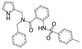 Cc1ccc(S(=O)(=O)Nc2ccccc2C(=O)N(Cc2ccccc2)Cc2ccc[nH]2)cc1